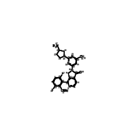 COc1c(F)ccc(F)c1-c1nccc2c1CN(c1cc(C)nc(N3CCC(N)C3)n1)C2=O